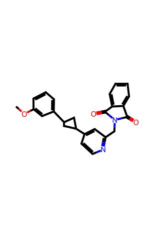 COc1cccc(C2CC(c3ccnc(CN4C(=O)c5ccccc5C4=O)c3)C2)c1